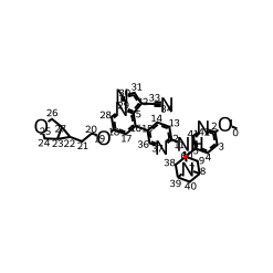 COc1ccc(CN2C3CC(Nc4ccc(-c5cc(OCCC6C7COCC67)cn6ncc(C#N)c56)cn4)CC2C3)cn1